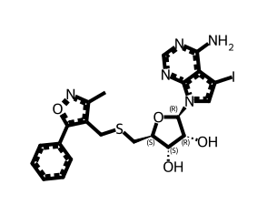 Cc1noc(-c2ccccc2)c1CSC[C@H]1O[C@@H](n2cc(I)c3c(N)ncnc32)[C@H](O)[C@@H]1O